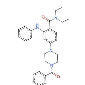 CCN(CC)C(=O)c1ccc(N2CCN(C(=O)c3ccccc3)CC2)cc1Nc1ccccc1